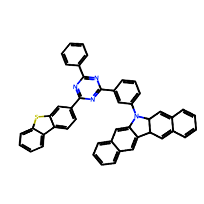 C1=c2ccccc2=CC2C1c1cc3ccccc3cc1N2c1cccc(-c2nc(-c3ccccc3)nc(-c3ccc4c(c3)sc3ccccc34)n2)c1